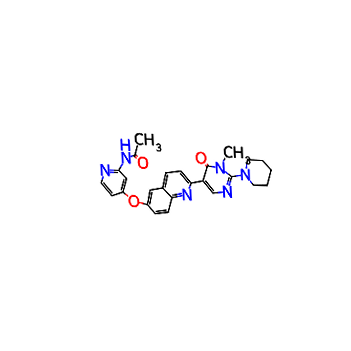 CC(=O)Nc1cc(Oc2ccc3nc(-c4cnc(N5CCCCC5)n(C)c4=O)ccc3c2)ccn1